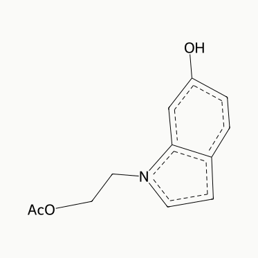 CC(=O)OCCn1ccc2ccc(O)cc21